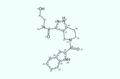 CN(CCO)C(=O)c1n[nH]c2c1CN(C(=O)c1cc3ccccc3[nH]1)CC2